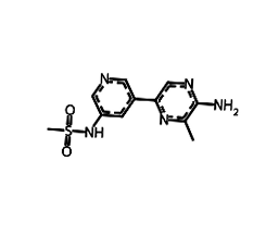 Cc1nc(-c2cncc(NS(C)(=O)=O)c2)cnc1N